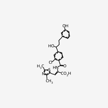 Cc1nc(C)c(/C=C(\NC(=O)c2ccc(C(O)CCc3cccc(O)c3)cc2Cl)C(=O)O)s1